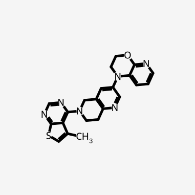 Cc1csc2ncnc(N3CCc4ncc(N5CCOc6ncccc65)cc4C3)c12